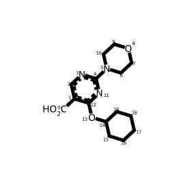 O=C(O)c1cnc(N2CCOCC2)nc1OC1CCCCC1